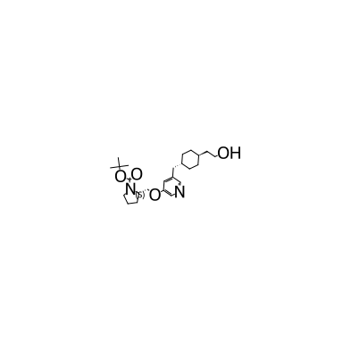 CC(C)(C)OC(=O)N1CCC[C@H]1COc1cncc(C[C@H]2CC[C@H](CCO)CC2)c1